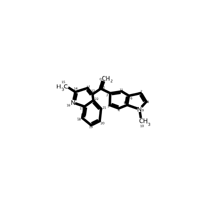 C=C(c1ccc2c(ccn2C)c1)c1cc(C)nc2ccccc12